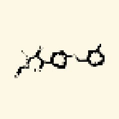 C[C@@H](NC=O)C(=O)C(=N)c1ccc(OCc2cccc(F)c2)cc1